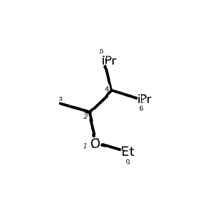 CCOC(C)C(C(C)C)C(C)C